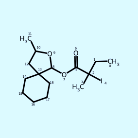 CCC(C)(I)C(=O)OC1OC(C)CC12CCCCC2